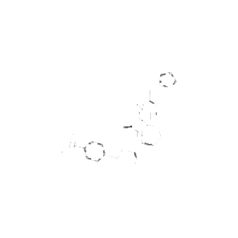 O=C(Cc1cccs1)N[C@@H]1C(=O)N2C(C(=O)OCc3ccc([N+](=O)[O-])cc3)=CCS[C@H]12